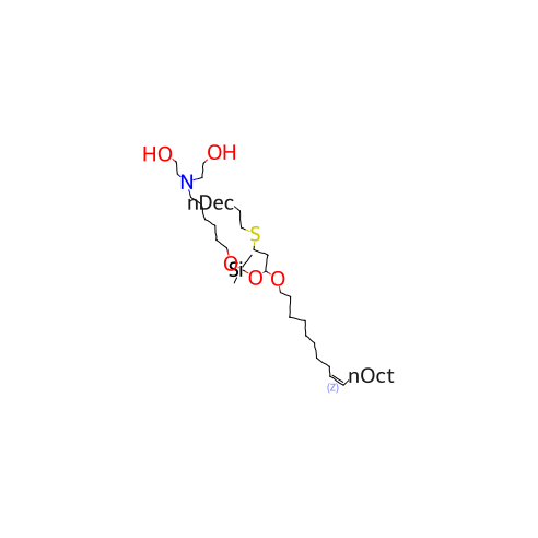 CCCCCCCC/C=C\CCCCCCCCOC(CCSCCCCCCCCCCCC)O[Si](C)(C)OCCCCCCN(CCO)CCO